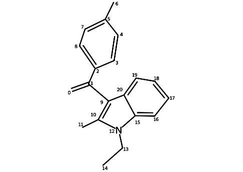 C=C(c1ccc(C)cc1)c1c(C)n(CC)c2ccccc12